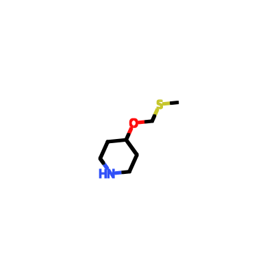 CSCOC1CCNCC1